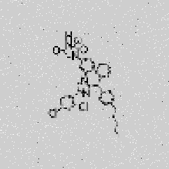 CCCCCc1ccc(C(c2ccccc2)c2nc(-c3ccc(Cl)cc3Cl)cn2-c2cccc(N3CC(=O)NS3(=O)=O)c2)cc1